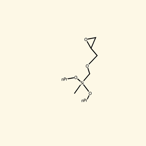 CCCO[Si](C)(COCC1CO1)OCCC